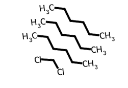 CCCCCC.CCCCCC.CCCCCC.ClCCl